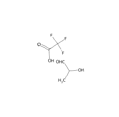 CC(O)C=O.O=C(O)C(F)(F)F